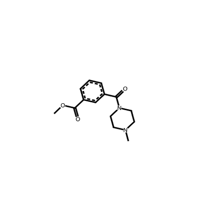 COC(=O)c1cccc(C(=O)N2CCN(C)CC2)c1